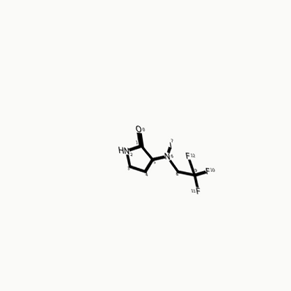 O=C1NCCC1N(I)CC(F)(F)F